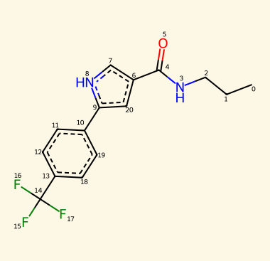 CCCNC(=O)c1c[nH]c(-c2ccc(C(F)(F)F)cc2)c1